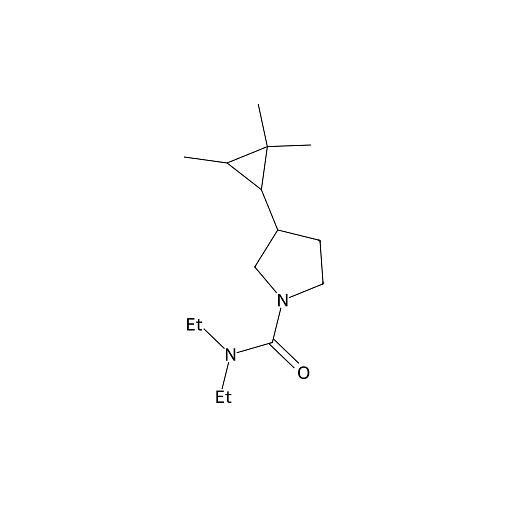 CCN(CC)C(=O)N1CCC(C2C(C)C2(C)C)C1